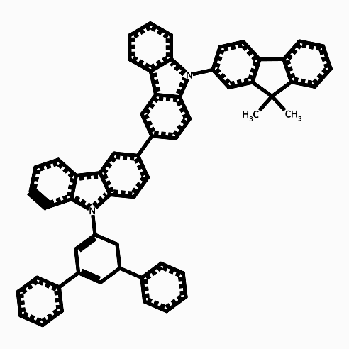 CC1(C)c2ccccc2-c2ccc(-n3c4ccccc4c4cc(-c5ccc6c(c5)c5ccc#cc5n6C5=CC(c6ccccc6)=CC(c6ccccc6)C5)ccc43)cc21